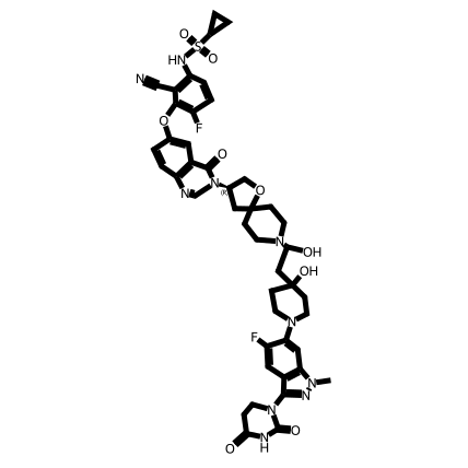 Cn1nc(N2CCC(=O)NC2=O)c2cc(F)c(N3CCC(O)(CC(O)N4CCC5(CC4)C[C@@H](n4cnc6ccc(Oc7c(F)ccc(NS(=O)(=O)C8CC8)c7C#N)cc6c4=O)CO5)CC3)cc21